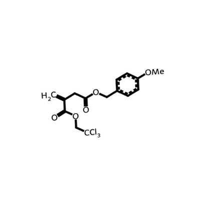 C=C(CC(=O)OCc1ccc(OC)cc1)C(=O)OCC(Cl)(Cl)Cl